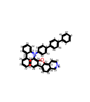 c1ccc(-c2ccc(-c3ccc(N(c4ccccc4-c4ccccc4)c4cccc5c4oc4c6ccncc6ccc54)cc3)cc2)cc1